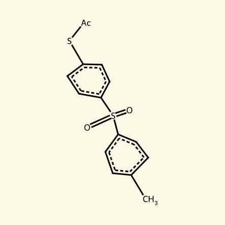 CC(=O)Sc1ccc(S(=O)(=O)c2ccc(C)cc2)cc1